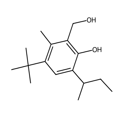 CCC(C)c1cc(C(C)(C)C)c(C)c(CO)c1O